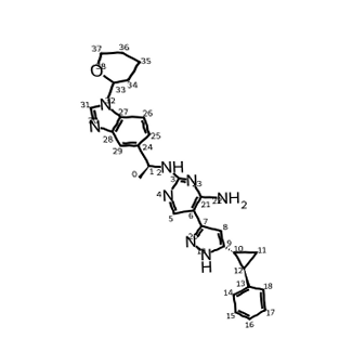 C[C@H](Nc1ncc(-c2cc([C@@H]3C[C@H]3c3ccccc3)[nH]n2)c(N)n1)c1ccc2c(c1)ncn2C1CCCCO1